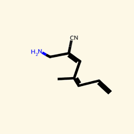 C=C/C=C(C)\C=C(\C#N)CN